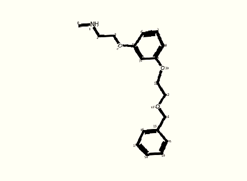 CNCCOc1cccc(OCCOCc2ccccc2)c1